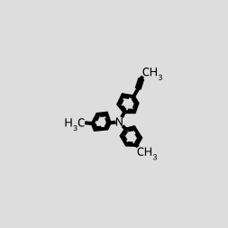 CC#Cc1ccc(N(c2ccc(C)cc2)c2ccc(C)cc2)cc1